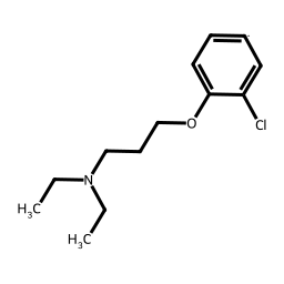 CCN(CC)CCCOc1cc[c]cc1Cl